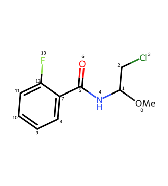 COC(CCl)NC(=O)c1ccccc1F